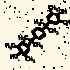 Cc1cc(C(C)(C)c2ccc(C(C)(C)c3cc(C)c(O)c(C)c3)cc2)cc(C)c1O